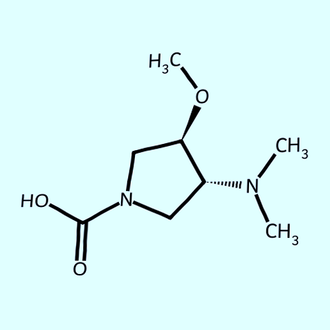 CO[C@@H]1CN(C(=O)O)C[C@H]1N(C)C